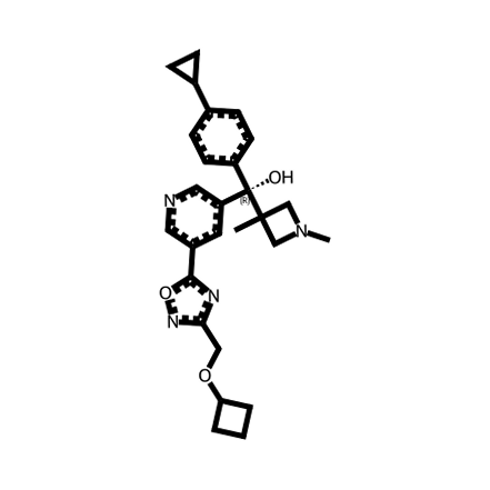 CN1CC(C)([C@](O)(c2ccc(C3CC3)cc2)c2cncc(-c3nc(COC4CCC4)no3)c2)C1